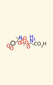 CC(OC(=O)C(N)CC(=O)O)OC(=O)N(C)C(C)C(=O)c1ccc2c(c1)OCO2